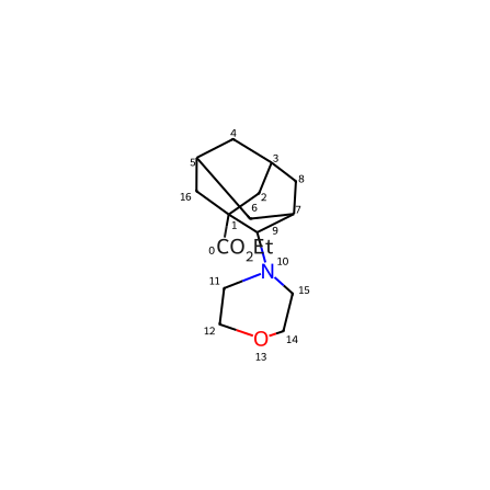 CCOC(=O)C12CC3CC(CC(C3)C1N1CCOCC1)C2